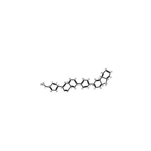 SCc1ccc(-c2ccc3cc(-c4ccc(-c5ccc6sc7ccccc7c6c5)cc4)ccc3c2)cc1